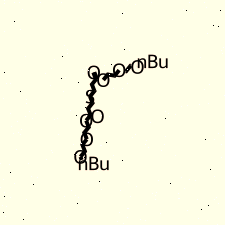 CCCCOCCOCCOC(=O)CCSCCC(=O)OCCOCCOCCCC